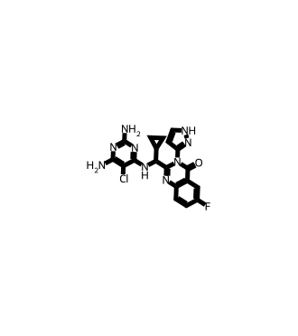 Nc1nc(N)c(Cl)c(NC(c2nc3ccc(F)cc3c(=O)n2-c2cc[nH]n2)C2CC2)n1